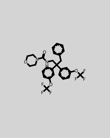 O=C(NCC(Cc1ccccc1)(c1cccc(OC(F)(F)F)c1)c1cccc(OC(F)(F)F)c1)N1CCOCC1